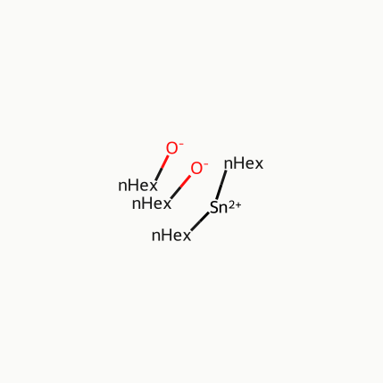 CCCCCC[O-].CCCCCC[O-].CCCCC[CH2][Sn+2][CH2]CCCCC